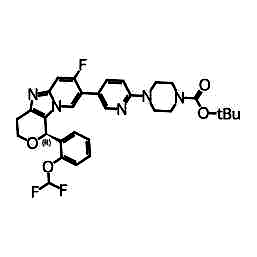 CC(C)(C)OC(=O)N1CCN(c2ccc(-c3cn4c5c(nc4cc3F)CCO[C@@H]5c3ccccc3OC(F)F)cn2)CC1